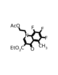 CCOC(=O)c1cn(CCOC(C)=O)c2c(F)c(F)c(F)c(C)c2c1=O